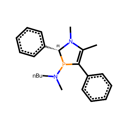 CCCCN(C)P1C(c2ccccc2)=C(C)N(C)[C@H]1c1ccccc1